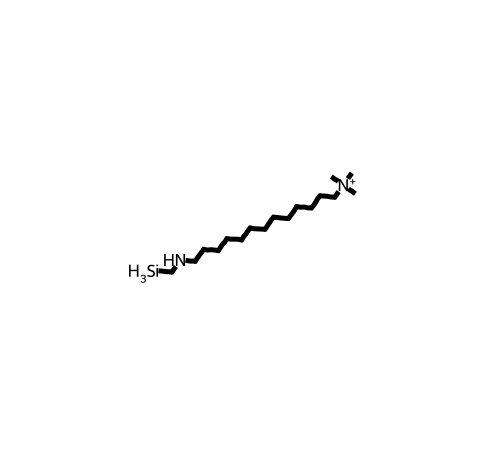 C[N+](C)(C)CCCCCCCCCCCCCNC[SiH3]